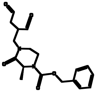 C[C@H]1C(=O)N(CC(C=O)CC=O)CCN1C(=O)OCc1ccccc1